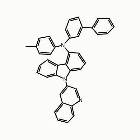 Cc1ccc(N(c2cccc(-c3ccccc3)c2)c2cccc3c2c2ccccc2n3-c2cnc3ccccc3c2)cc1